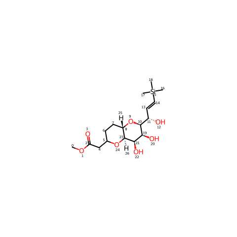 COC(=O)CC1CC[C@@H]2O[C@@H]([C@@H](O)/C=C/[Si](C)(C)C)[C@@H](O)[C@@H](O)[C@H]2O1